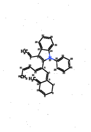 C=Cc1c(C(/C=C2/CCC=CC2=C)=C\C=C/C)n(-c2ccccc2)c2ccccc12